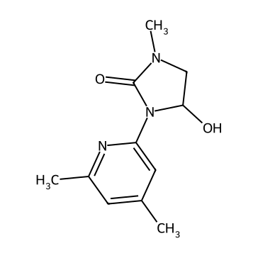 Cc1cc(C)nc(N2C(=O)N(C)CC2O)c1